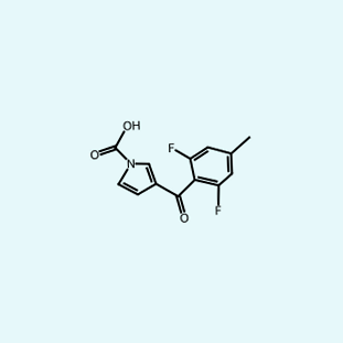 Cc1cc(F)c(C(=O)c2ccn(C(=O)O)c2)c(F)c1